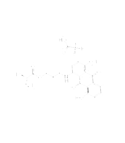 CC(C)[C@H](N)C(=O)OCCCNc1ccc(O)c2c1C(=O)c1c(O)cccc1C2=O.O=C(O)C(F)(F)F